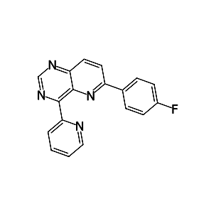 Fc1ccc(-c2ccc3ncnc(-c4ccccn4)c3n2)cc1